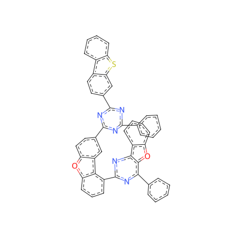 c1ccc(-c2nc(-c3ccc4c(c3)sc3ccccc34)nc(-c3ccc4oc5cccc(-c6nc(-c7ccccc7)c7oc8ccccc8c7n6)c5c4c3)n2)cc1